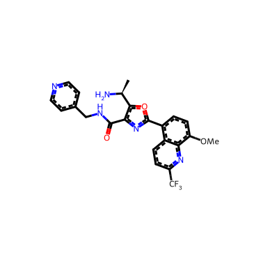 COc1ccc(-c2nc(C(=O)NCc3ccncc3)c([C@H](C)N)o2)c2ccc(C(F)(F)F)nc12